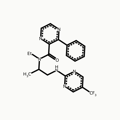 CCN(C(=O)c1nccnc1-c1ccccc1)C(C)CNc1ncc(C(F)(F)F)cn1